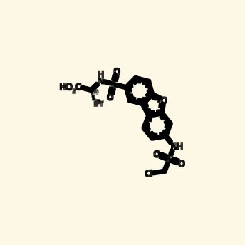 CC(C)[C@@H](NS(=O)(=O)c1ccc2oc3cc(NS(=O)(=O)CCl)ccc3c2c1)C(=O)O